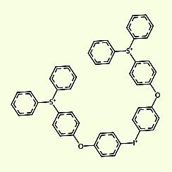 c1ccc([S+](c2ccccc2)c2ccc(Oc3ccc([I+]c4ccc(Oc5ccc([S+](c6ccccc6)c6ccccc6)cc5)cc4)cc3)cc2)cc1